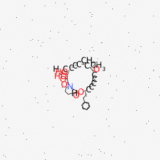 C[C@H]1CCC[C@@H](C)C(O)(O)C(=O)C(=O)N2CCCC[C@H]2C(=O)O[C@H](CCc2ccccc2)CCCCCC(=O)[C@@H](C)C1